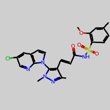 COc1cc(C)ccc1S(=O)(=O)NC(=O)C=Cc1c(C)nn(C)c1-n1ccc2cc(Cl)cnc21